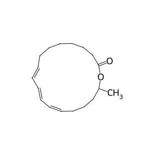 CC1CCC\C=C/C=C/C=C/CCCCCCC(=O)O1